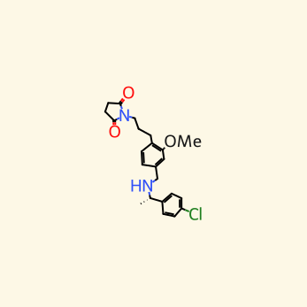 COc1cc(CN[C@@H](C)c2ccc(Cl)cc2)ccc1CCCN1C(=O)CCC1=O